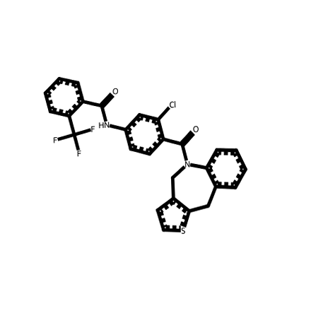 O=C(Nc1ccc(C(=O)N2Cc3ccsc3Cc3ccccc32)c(Cl)c1)c1ccccc1C(F)(F)F